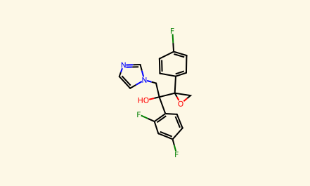 OC(Cn1ccnc1)(c1ccc(F)cc1F)C1(c2ccc(F)cc2)CO1